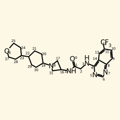 O=C(CNc1ncnc2ccc(C(F)(F)F)cc12)NC1CN(C2CCC(C3CCOCC3)CC2)C1